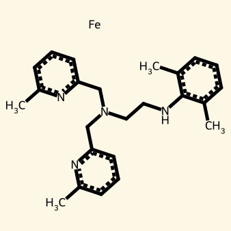 Cc1cccc(CN(CCNc2c(C)cccc2C)Cc2cccc(C)n2)n1.[Fe]